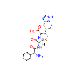 CCC(Sc1nc[nH]n1)C1=C(C(=O)O)N2C(=O)C(NC(=O)C(N)c3ccccc3)[C@@H]2SC1